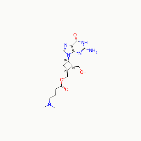 CN(C)CCCC(=O)OC[C@H]1C[C@@H](n2cnc3c(=O)[nH]c(N)nc32)[C@H]1CO